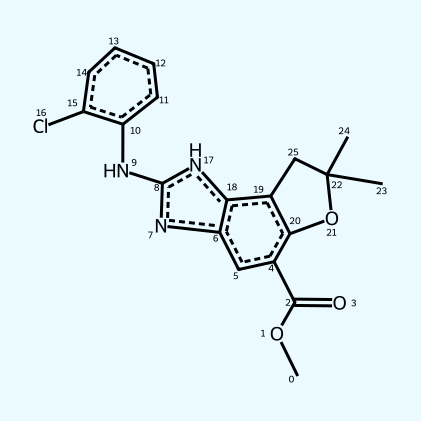 COC(=O)c1cc2nc(Nc3ccccc3Cl)[nH]c2c2c1OC(C)(C)C2